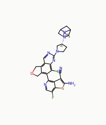 CN1C2CC1CN([C@@H]1CCN(c3ncc4c5c(c(-c6ncc(F)c7sc(N)c(C#N)c67)c(F)c4n3)COC5)C1)C2